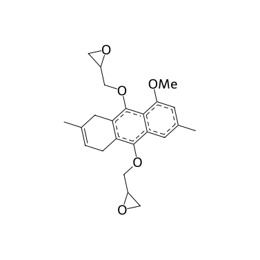 COc1cc(C)cc2c(OCC3CO3)c3c(c(OCC4CO4)c12)CC(C)=CC3